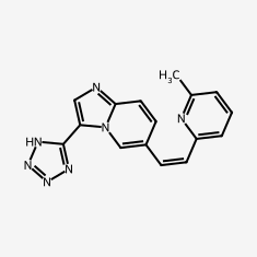 Cc1cccc(/C=C\c2ccc3ncc(-c4nnn[nH]4)n3c2)n1